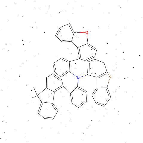 CC1(C)c2ccccc2-c2c(-c3ccccc3N(C3=CCCc4sc5ccccc5c43)c3ccccc3-c3cccc4oc5ccccc5c34)cccc21